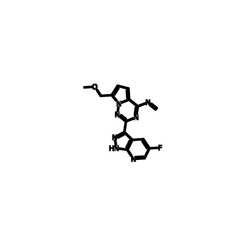 C=Nc1nc(-c2n[nH]c3ncc(F)cc23)nn2c(COC)ccc12